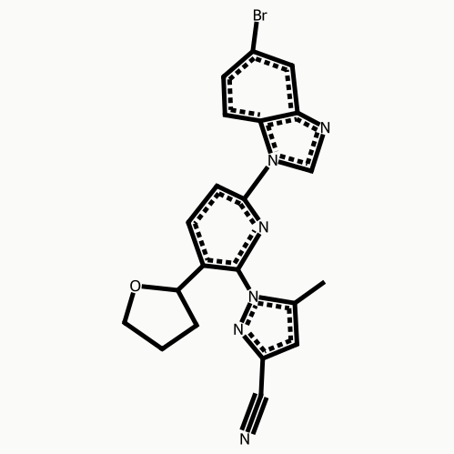 Cc1cc(C#N)nn1-c1nc(-n2cnc3cc(Br)ccc32)ccc1C1CCCO1